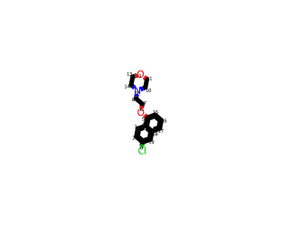 Clc1ccc2c(OCCN3CCOCC3)cccc2c1